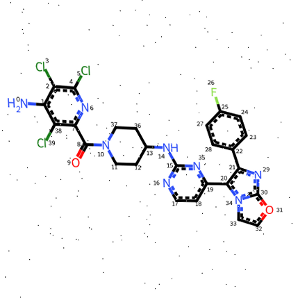 Nc1c(Cl)c(Cl)nc(C(=O)N2CCC(Nc3nccc(-c4c(-c5ccc(F)cc5)nc5occn45)n3)CC2)c1Cl